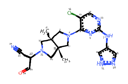 C[C@@]12CN(c3nc(Nc4cn[nH]c4)ncc3Cl)C[C@]1(C)CN(C(C#N)C=O)C2